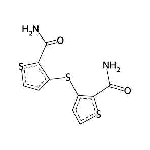 NC(=O)c1sccc1Sc1ccsc1C(N)=O